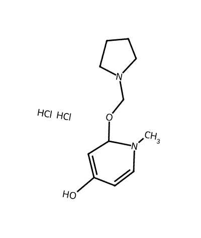 CN1C=CC(O)=CC1OCN1CCCC1.Cl.Cl